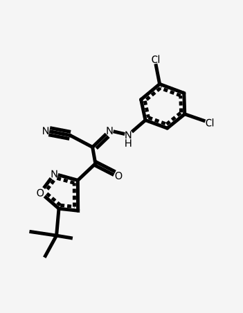 CC(C)(C)c1cc(C(=O)C(C#N)=NNc2cc(Cl)cc(Cl)c2)no1